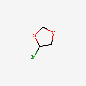 BrC1COCO1